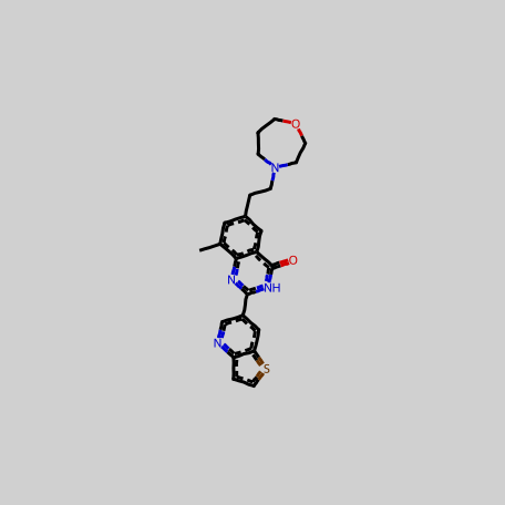 Cc1cc(CCN2CCCOCC2)cc2c(=O)[nH]c(-c3cnc4ccsc4c3)nc12